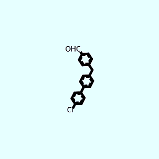 O=Cc1ccc(Cc2ccc(-c3ccc(Cl)cc3)cc2)cc1